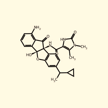 Cc1c(C(=O)N[C@]23C(=O)c4c(N)cccc4[C@@]2(O)Oc2cc(C(C)C4CC4)ccc23)[nH]c(=O)n1C